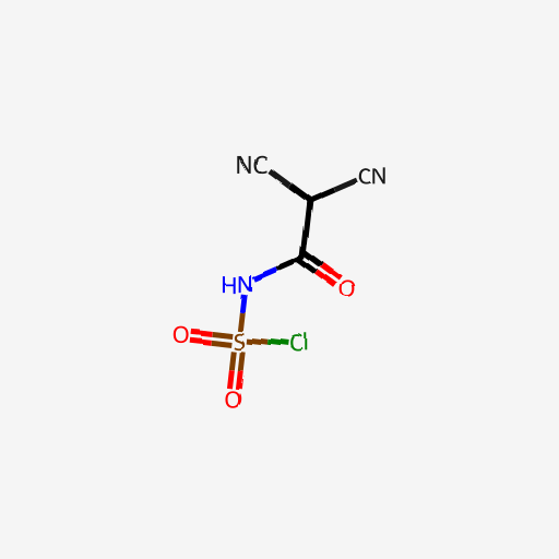 N#CC(C#N)C(=O)NS(=O)(=O)Cl